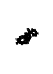 C[C@@H]1CNc2ccc(C(=O)N3CCCCC3)cc2OC1